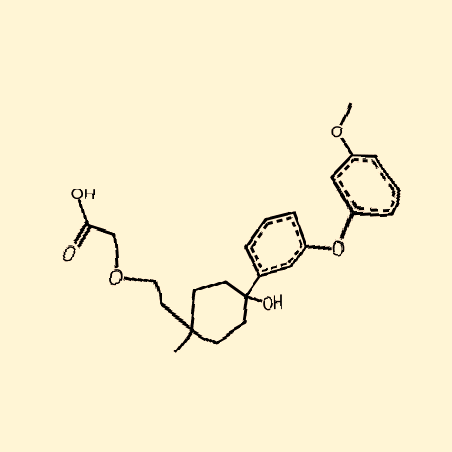 COc1cccc(Oc2cccc(C3(O)CCC(C)(CCOCC(=O)O)CC3)c2)c1